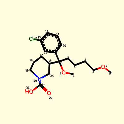 COCCCCC(OC)(c1cccc(Cl)c1)C1CCCN(C(=O)O)C1